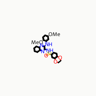 COc1ccc(OC)c(Nc2nc3ccccc3nc2N[S+]([O-])c2ccc3c(c2)OCCO3)c1